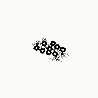 Cc1ccc(N(c2cccc3c2oc2c(C(C)(C)C)cccc23)c2c3ccccc3c(N(c3ccc([Si](C)(C)C)cc3)c3cccc4c3oc3c(C(C)(C)C)cccc34)c3c2oc2ccccc23)cc1